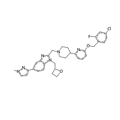 Cn1ccc(-c2ccc3c(c2)nc(CN2CCC(c4cccc(OCc5ccc(Cl)cc5F)n4)CC2)n3CC2CCO2)n1